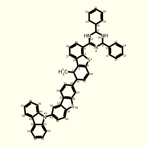 CC1c2c(sc3c(C4=NC(c5ccccc5)NC(C5C=CC=CC5)N4)cccc23)C=CC1c1ccc2c(c1)sc1ccc(-n3c4ccccc4c4ccccc43)cc12